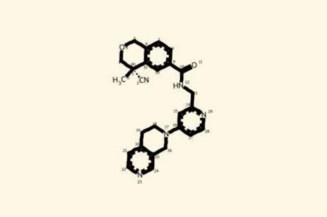 C[C@@]1(C#N)COCc2ccc(C(=O)NCc3cc(N4CCc5ccncc5C4)ccn3)cc21